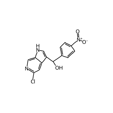 O=[N+]([O-])c1ccc(C(O)c2c[nH]c3cnc(Cl)cc23)cc1